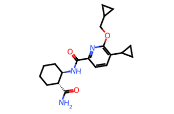 NC(=O)[C@@H]1CCCC[C@H]1NC(=O)c1ccc(C2CC2)c(OCC2CC2)n1